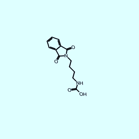 O=C(O)NCCCCN1C(=O)c2ccccc2C1=O